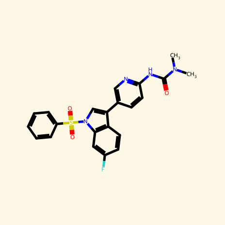 CN(C)C(=O)Nc1ccc(-c2cn(S(=O)(=O)c3ccccc3)c3cc(F)ccc23)cn1